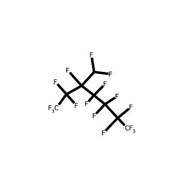 FC(F)C(F)(C(F)(F)C(F)(F)F)C(F)(F)C(F)(F)C(F)(F)C(F)(F)F